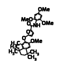 COc1cc(OC)c(NC(=O)c2ccc(Oc3c(OC)cc4c(c3C)C(C)(C)CCC4(C)C)o2)c(OC)c1